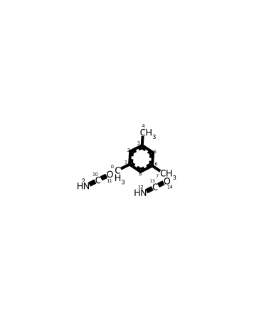 Cc1cc(C)cc(C)c1.N=C=O.N=C=O